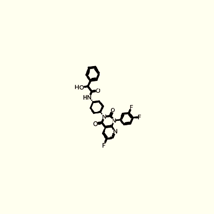 O=C(N[C@H]1CC[C@@H](n2c(=O)c3cc(F)cnc3n(-c3ccc(F)c(F)c3)c2=O)CC1)C(O)c1ccccc1